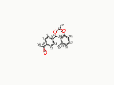 CC(=O)OC(c1ccc(C(C)=O)cc1)c1ccccc1C